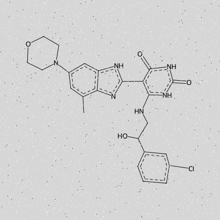 Cc1cc(N2CCOCC2)cc2[nH]c(-c3c(NCC(O)c4cccc(Cl)c4)[nH]c(=O)[nH]c3=O)nc12